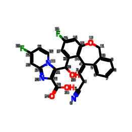 N#CCC=C1c2ccccc2COc2cc(F)cc(C(O)c3c(C(=O)O)nc4cc(F)ccn34)c21